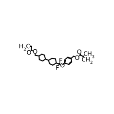 C=CC(=O)OCC1CCC(C2CCC(C(F)(F)Oc3ccc(COC(=O)C(=C)C)cc3)CC2)CC1